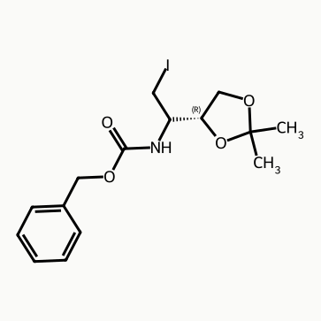 CC1(C)OC[C@@H](C(CI)NC(=O)OCc2ccccc2)O1